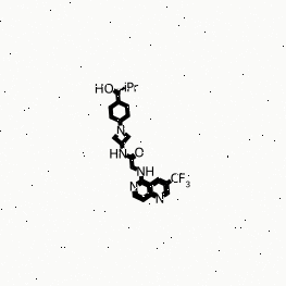 CC(C)[C@H](O)C1CCC(N2CC(NC(=O)CNc3nccc4ncc(C(F)(F)F)cc34)C2)CC1